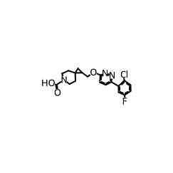 O=C(O)N1CCC2(CC1)CC2COc1ccc(-c2cc(F)ccc2Cl)nn1